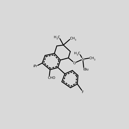 CC(C)c1cc2c(c(-c3ccc(F)cc3)c1C=O)C(O[Si](C)(C)C(C)(C)C)CC(C)(C)C2